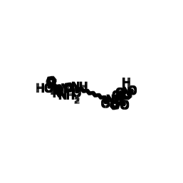 Nc1nnc(-c2ccccc2O)cc1N1CCC(NC(=O)CCCCCCCCCC(=O)Nc2cccc3c2C(=O)N(C2CCC(=O)NC2=O)C3=O)CC1